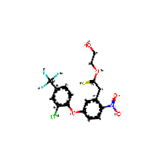 O=[N+]([O-])c1ccc(Oc2ccc(C(F)(F)F)cc2Cl)cc1CC(=S)OCCO